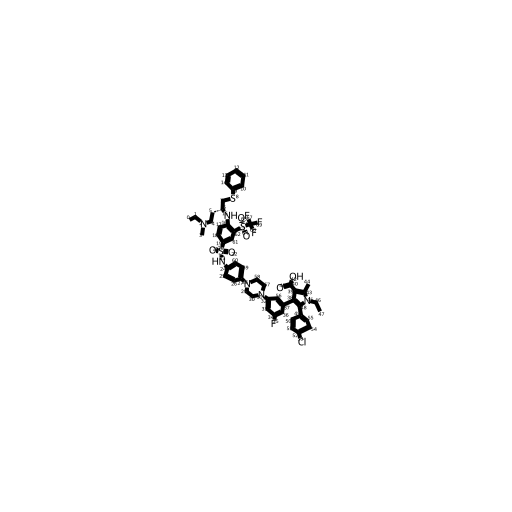 CCN(C)CC[C@H](CSc1ccccc1)Nc1ccc(S(=O)(=O)Nc2ccc(N3CCN(c4cc(F)cc(-c5c(C(=O)O)c(C)n(CC)c5-c5ccc(Cl)cc5)c4)CC3)cc2)cc1S(=O)(=O)C(F)(F)F